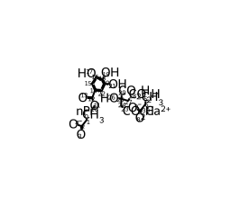 CCC(=O)[O-].CCC(=O)[O-].CCCOC(=O)c1cc(O)c(O)c(O)c1.O=C(O)CC(O)(CC(=O)O)C(=O)O.[Ca+2]